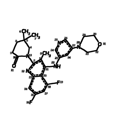 Cc1c(N2CC(C)(C)CCC2=O)nc2cc(F)cc(F)c2c1Nc1cncc(N2CCOCC2)c1